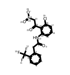 O=C(Cc1ccccc1C(F)(F)F)Nc1cccc(Cl)c1C(=O)C[N+](=O)[O-]